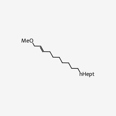 [CH2]OC/C=C/CCCCCCCCCCCCCC